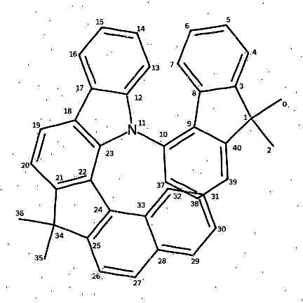 CC1(C)c2ccccc2-c2c(-n3c4ccccc4c4ccc5c(c43)-c3c(ccc4ccccc34)C5(C)C)cccc21